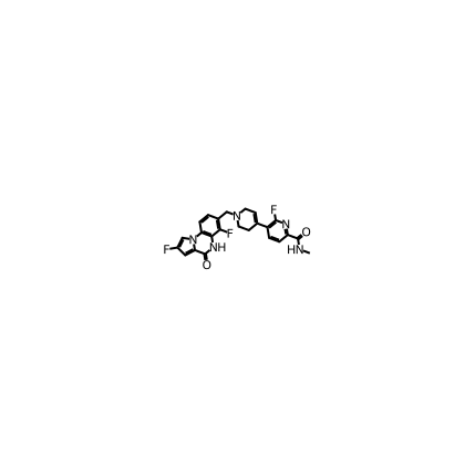 CNC(=O)c1ccc(C2=CCN(Cc3ccc4c([nH]c(=O)c5cc(F)cn54)c3F)CC2)c(F)n1